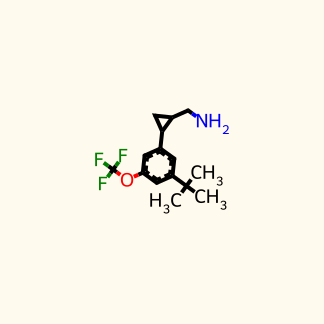 CC(C)(C)c1cc(OC(F)(F)F)cc(C2CC2CN)c1